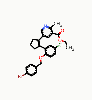 CCOC(=O)c1cc(C2=C(c3cc(Cl)ccc3OCc3ccc(Br)cc3)CCC2)cnc1C